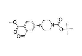 COC(=O)c1ccc(N2CCN(C(=O)OC(C)(C)C)CC2)cc1C=O